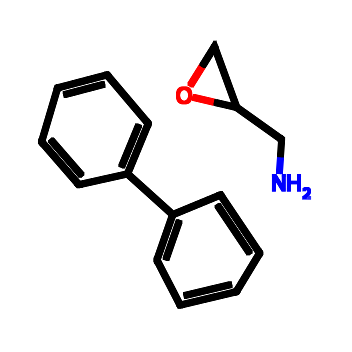 NCC1CO1.c1ccc(-c2ccccc2)cc1